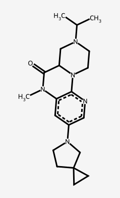 CC(C)N1CCN2c3ncc(N4CCC5(CC5)C4)cc3N(C)C(=O)C2C1